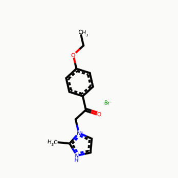 CCOc1ccc(C(=O)C[n+]2cc[nH]c2C)cc1.[Br-]